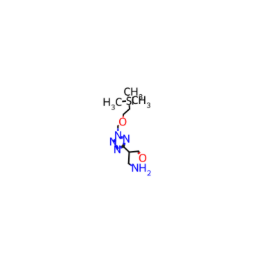 C[Si](C)(C)CCOCn1nnc(C(C=O)CN)n1